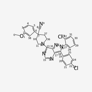 COc1cccc(C2(C#N)CCN(c3ncnc4c(-c5ccc(Cl)cc5)n(-c5ccccc5Cl)nc34)CC2)c1